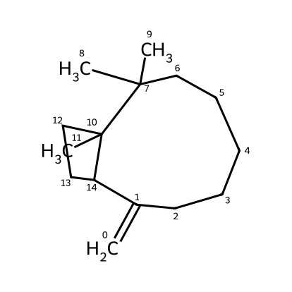 C=C1CCCCCC(C)(C)C2(C)CCC12